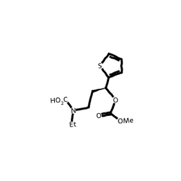 CCN(CC[C@H](OC(=O)OC)c1cccs1)C(=O)O